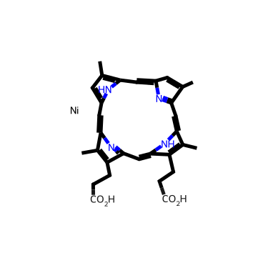 CC1=Cc2cc3[nH]c(cc4nc(cc5[nH]c(cc1n2)c(C)c5CCC(=O)O)C(CCC(=O)O)=C4C)cc3C.[Ni]